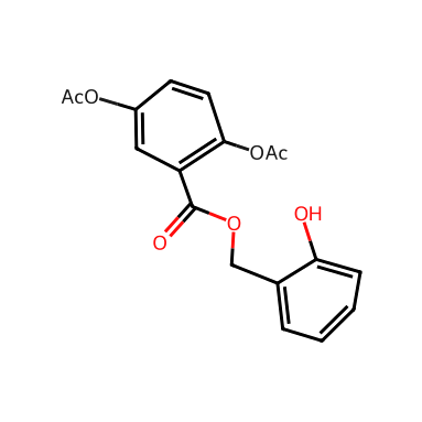 CC(=O)Oc1ccc(OC(C)=O)c(C(=O)OCc2ccccc2O)c1